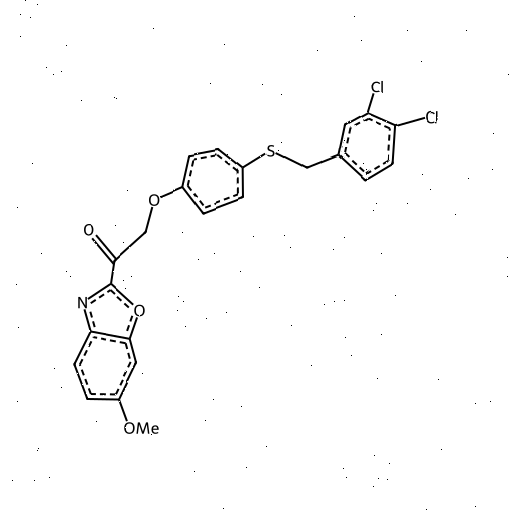 COc1ccc2nc(C(=O)COc3ccc(SCc4ccc(Cl)c(Cl)c4)cc3)oc2c1